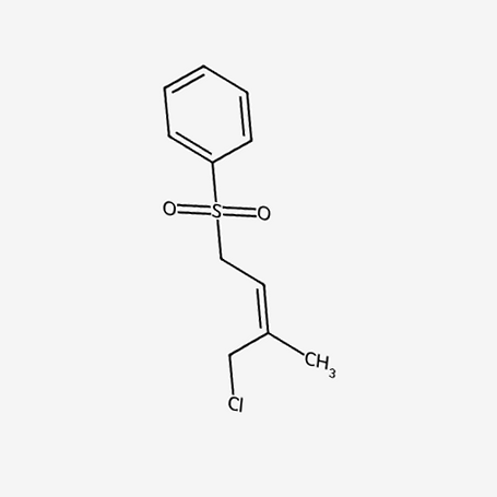 CC(=CCS(=O)(=O)c1ccccc1)CCl